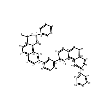 CC1CC(c2ccccc2)=Nc2c1ccc1ccc(-c3cccc(-c4ccc5ccc6ccc(-c7ccccc7)nc6c5n4)c3)nc21